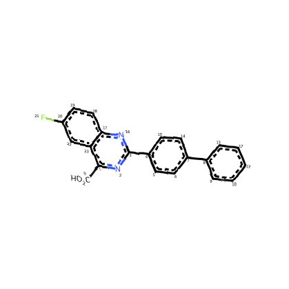 O=C(O)c1nc(-c2ccc(-c3ccccc3)cc2)nc2ccc(F)cc12